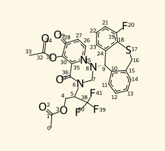 CC(=O)OCC(N1CN([C@H]2c3ccccc3CSc3c(F)cccc32)n2ccc(=O)c(OC(C)=O)c2C1=O)C(F)(F)F